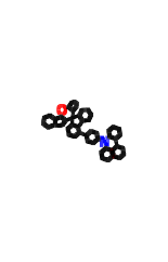 c1ccc(-c2ccccc2N(c2ccccc2)c2ccc(-c3cccc4c3-c3ccccc3C43c4ccccc4Oc4c3ccc3ccccc43)cc2)cc1